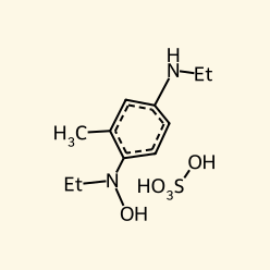 CCNc1ccc(N(O)CC)c(C)c1.O=S(=O)(O)O